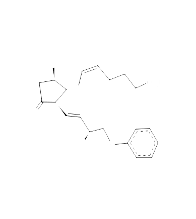 O=C(O)CCC/C=C\C[C@H]1[C@H](O)CC(=O)[C@@H]1/C=C/[C@H](O)COc1ccccc1